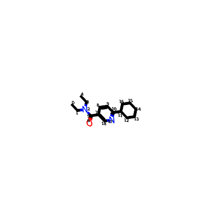 CCN(CC)C(=O)c1ccc(C2CCCCC2)nc1